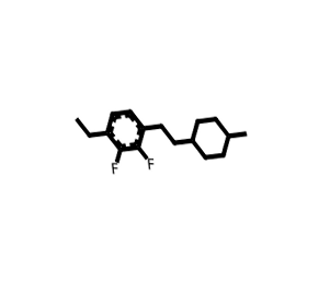 CCc1ccc(CCC2CCC(C)CC2)c(F)c1F